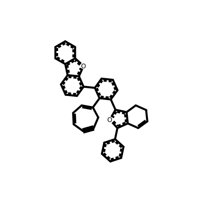 C1#CCC(c2c(-c3oc(-c4ccccc4)c4c3CCC=C4)cccc2-c2cccc3c2oc2ccccc23)=CC=C1